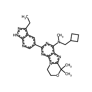 CCc1n[nH]c2ncc(-c3nc(N(C)CC4CCC4)c4nc5n(c4n3)CCOC5(C)C)cc12